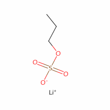 CCCOS(=O)(=O)[O-].[Li+]